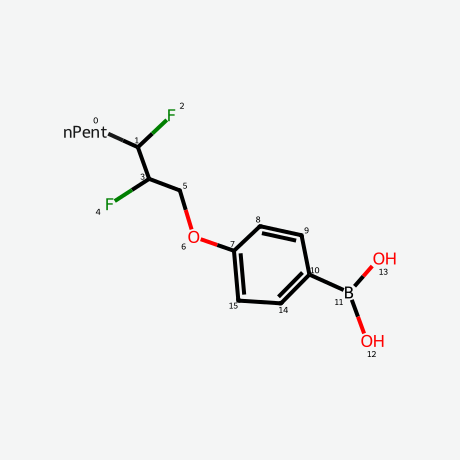 CCCCCC(F)C(F)COc1ccc(B(O)O)cc1